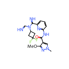 COc1nn(C)cc1C(=O)Nc1cccc(C(=N)N(C=N)C2CC(F)(F)C2)n1